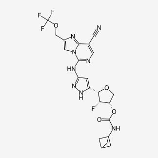 N#Cc1cnc(Nc2cc([C@@H]3OC[C@H](OC(=O)NC45CC(C4)C5)[C@@H]3F)[nH]n2)n2cc(COC(F)(F)F)nc12